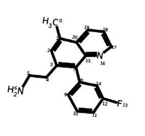 Cc1cc(CCN)c(-c2cccc(F)c2)c2ncccc12